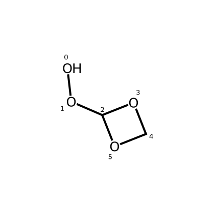 OOC1OCO1